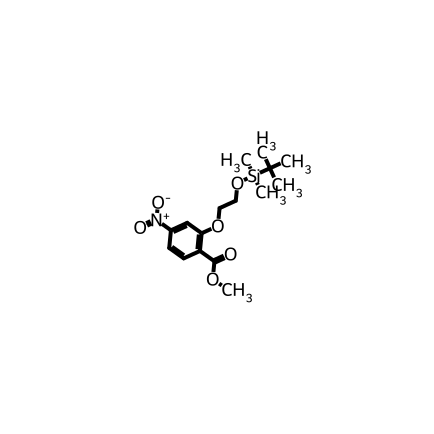 COC(=O)c1ccc([N+](=O)[O-])cc1OCCO[Si](C)(C)C(C)(C)C